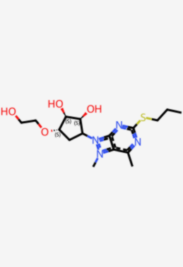 CCCSc1nc(C)c2c(n1)n(C1C[C@H](OCCO)[C@@H](O)[C@H]1O)n2C